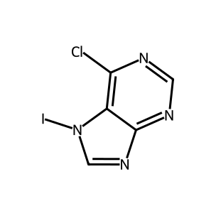 Clc1ncnc2ncn(I)c12